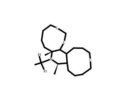 CCC(C)(CC)N1[C@H](C)C2CCCCCCCCC2C2CCCCCCC[C@]21C